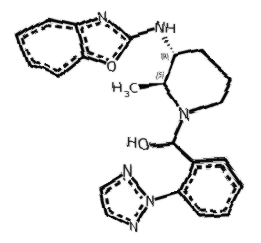 C[C@H]1[C@H](Nc2nc3ccccc3o2)CCCN1C(O)c1ccccc1-n1nccn1